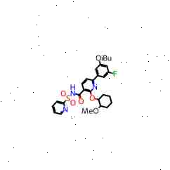 COC1CCCCC1Oc1nc(-c2cc(F)cc(OCC(C)C)c2)ccc1C(=O)NS(=O)(=O)c1ccccn1